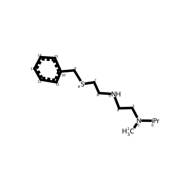 CC(C)N(C)CCNCCSCc1ccccc1